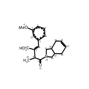 COc1cccc(C=C(C(=O)O)C(C)C(=O)N2CC3CC=CCC3C2)c1